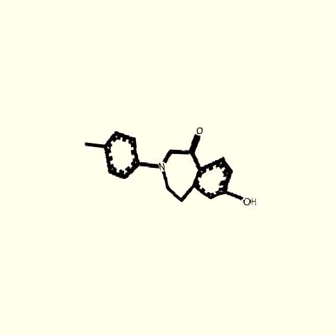 Cc1ccc(N2CCc3cc(O)ccc3C(=O)C2)cc1